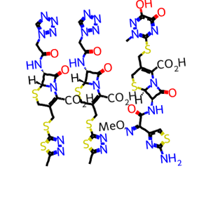 CO/N=C(\C(=O)N[C@@H]1C(=O)N2C(C(=O)O)=C(CSc3nc(=O)c(O)nn3C)CS[C@H]12)c1csc(N)n1.Cc1nnc(SCC2=C(C(=O)O)N3C(=O)[C@@H](NC(=O)Cn4cnnn4)[C@H]3SC2)s1.Cc1nnc(SCC2=C(C(=O)O)N3C(=O)[C@@H](NC(=O)Cn4cnnn4)[C@H]3SC2)s1